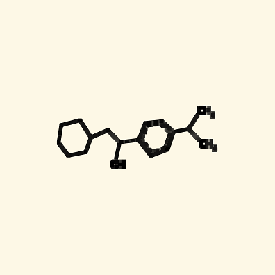 CC(C)c1ccc(C(O)CC2CCCCC2)cc1